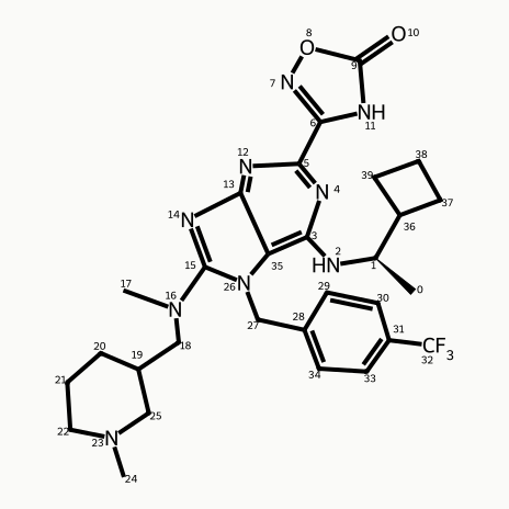 C[C@@H](Nc1nc(-c2noc(=O)[nH]2)nc2nc(N(C)CC3CCCN(C)C3)n(Cc3ccc(C(F)(F)F)cc3)c12)C1CCC1